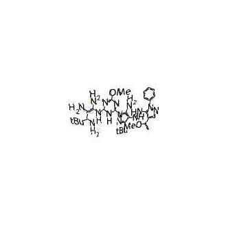 C=C(OC)c1cnn(-c2ccccc2)c1NNc1c(C(C)(C)C)nn(C2=NC(OC)=NC(N/C(N)=C(/N)C(N)C(C)(C)C)N2)c1N